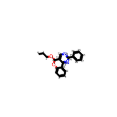 CCCOC1Oc2ccccc2-c2nc(-c3ccccc3)ncc21